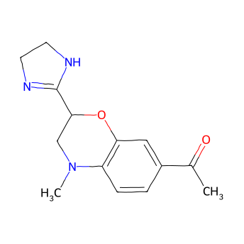 CC(=O)c1ccc2c(c1)OC(C1=NCCN1)CN2C